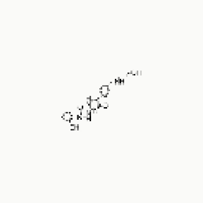 Cc1ccccc1NC(=O)Nc1nc(=O)c(-c2ccc(CNCCCO)cc2)c[nH]1